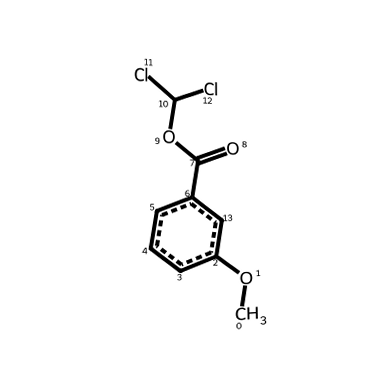 COc1cccc(C(=O)OC(Cl)Cl)c1